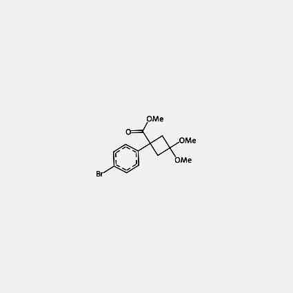 COC(=O)C1(c2ccc(Br)cc2)CC(OC)(OC)C1